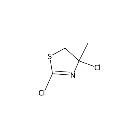 CC1(Cl)CSC(Cl)=N1